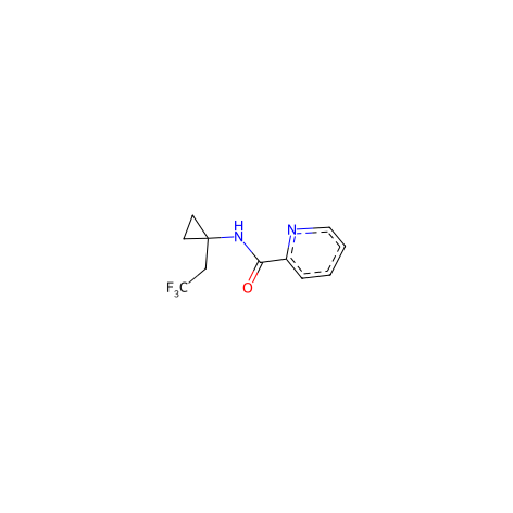 O=C(NC1(CC(F)(F)F)CC1)c1ccccn1